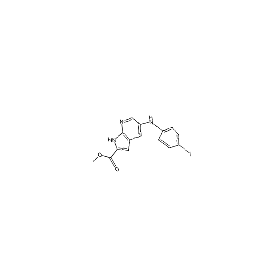 COC(=O)c1cc2cc(Nc3ccc(I)cc3)cnc2[nH]1